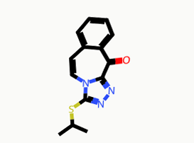 CC(C)Sc1nnc2c(=O)c3ccccc3ccn12